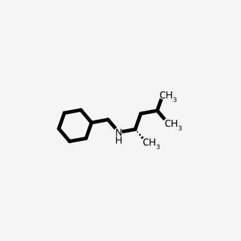 CC(C)C[C@H](C)NCC1CCCCC1